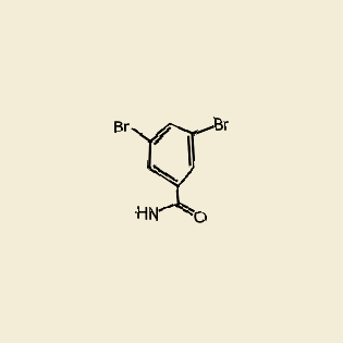 [NH]C(=O)c1cc(Br)cc(Br)c1